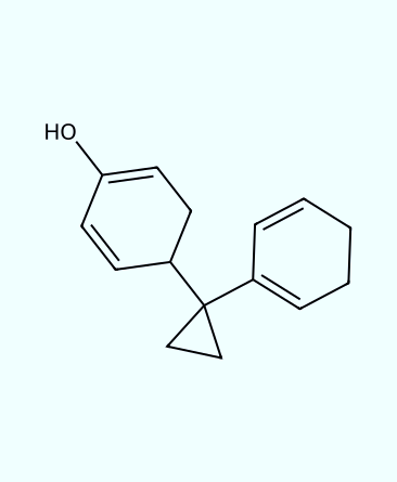 OC1=CCC(C2(C3=CCCC=C3)CC2)C=C1